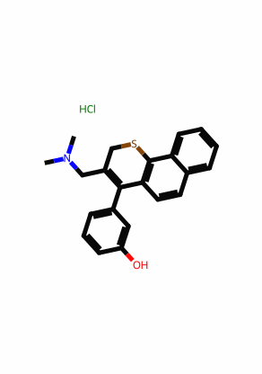 CN(C)CC1=C(c2cccc(O)c2)c2ccc3ccccc3c2SC1.Cl